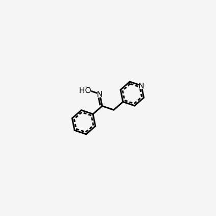 ON=C(Cc1ccncc1)c1ccccc1